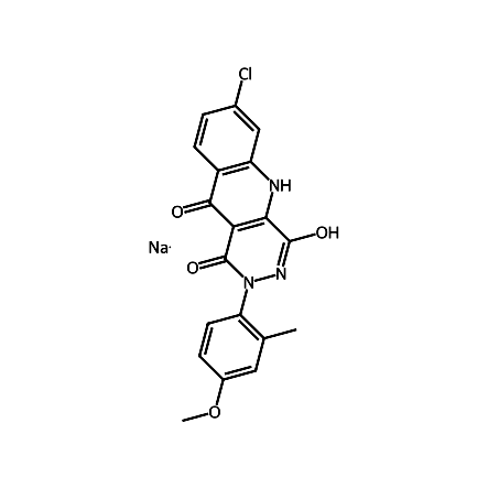 COc1ccc(-n2nc(O)c3[nH]c4cc(Cl)ccc4c(=O)c3c2=O)c(C)c1.[Na]